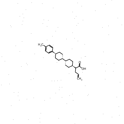 C=CCC(C(=O)O)[C@H]1CC[C@H]([C@H]2CC[C@H](c3ccc(C)cc3)CC2)CC1